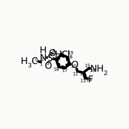 CCNS(=O)(=O)c1ccc(OC/C(=C/F)CN)cc1.Cl